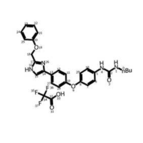 CCCCNC(=O)Nc1ccc(Oc2ccc(-c3c[nH]c(COc4ccccc4)n3)cc2)cc1.O=C(O)C(F)(F)F